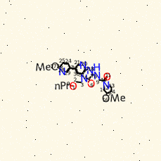 CCCOCCn1c(=O)c(NCC(=O)N2CC[C@@H](OC)C2)nc2ncc(-c3ccc(OC)nc3)cc21